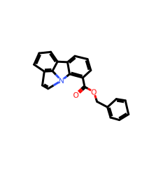 O=C(OCc1ccccc1)c1cccc2c3cccc4ccn(c12)c43